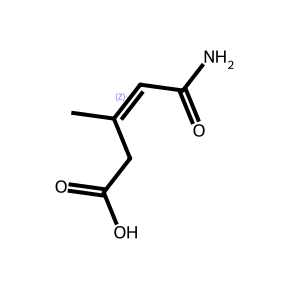 C/C(=C/C(N)=O)CC(=O)O